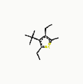 CCc1sc(C)c(CC)c1C(C)(C)C